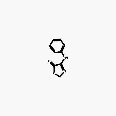 O=C1OCN=C1Nc1ccccc1